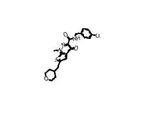 Cn1nc(C(=O)NCc2ccc(Cl)cc2)c(=O)c2cc(CC3CCOCC3)sc21